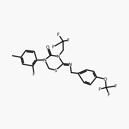 Cc1ccc(N2CSC(=NCc3ccc(OC(F)(F)F)cc3)N(CC(F)(F)F)C2=O)c(F)c1